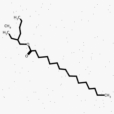 C.CCCCCCCCCCCCCCCC(=O)OCC(CC)CCCC